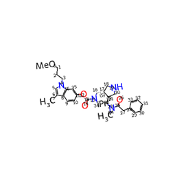 COCCCn1cc(C)c2ccc(OC(=O)N(C[C@@H]3CNC[C@H]3CN(C)C(=O)Cc3ccccc3)C(C)C)cc21